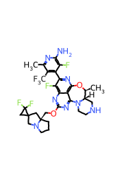 Cc1nc(N)c(F)c(-c2nc3c4c(nc(OC[C@@]56CCCN5CC5(CC5(F)F)C6)nc4c2F)N2CCNC[C@H]2[C@H](C)O3)c1C(F)(F)F